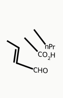 C/C=C/C=O.CC(=O)O.CCCC